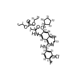 CCOP(=O)(CC(=O)Nc1cc2c(Nc3ccc(F)c(Cl)c3)ncnc2cc1OC1CCCC1)OCC